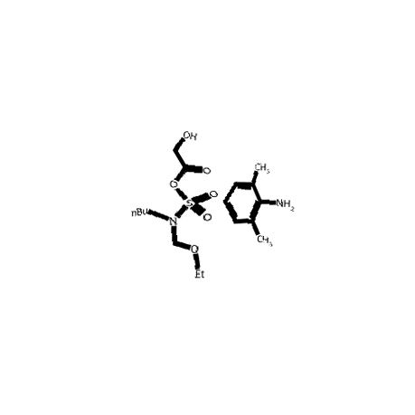 CCCCN(COCC)S(=O)(=O)OC(=O)CO.Cc1cccc(C)c1N